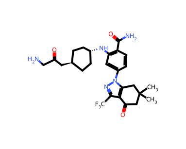 CC1(C)CC(=O)c2c(C(F)(F)F)nn(-c3ccc(C(N)=O)c(N[C@H]4CC[C@H](CC(=O)CN)CC4)c3)c2C1